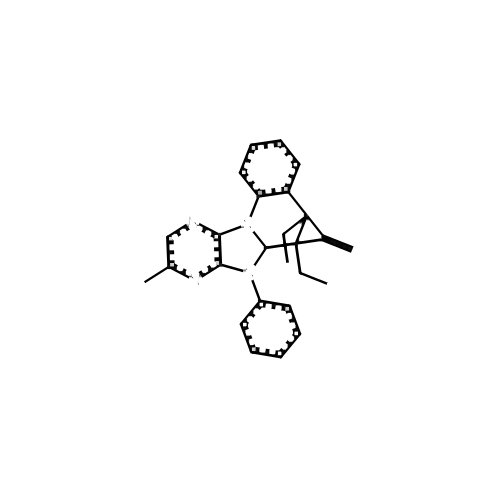 C=C1C2(CC)c3ccccc3N3c4ncc(C)nc4N(c4ccccc4)C3C12CC